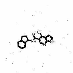 O=C(NC1CCc2ccccc21)c1cnc2[nH]ccc2c1Cl